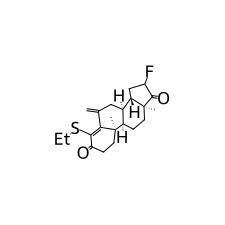 C=C1C[C@@H]2[C@@H](CC[C@]3(C)C(=O)C(F)C[C@@H]23)[C@@]2(C)CCC(=O)C(SCC)=C12